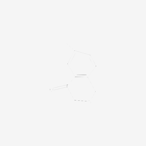 Cc1ccc2c(c1)C(=O)CSC2